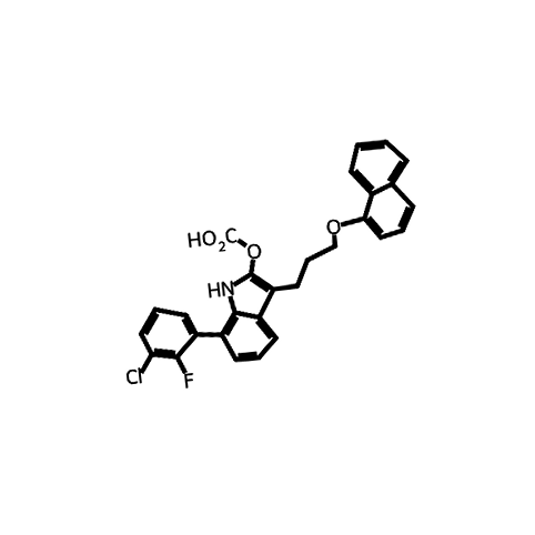 O=C(O)Oc1[nH]c2c(-c3cccc(Cl)c3F)cccc2c1CCCOc1cccc2ccccc12